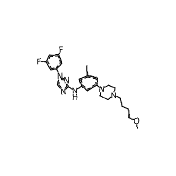 COCCCCN1CCN(c2cc(C)cc(Nc3ncn(-c4cc(F)cc(F)c4)n3)c2)CC1